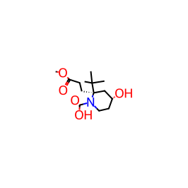 COC(=O)CC[C@]1(C(C)(C)C)C[C@H](O)CCN1C(=O)O